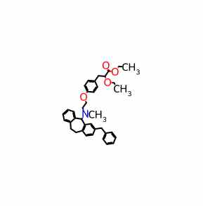 CCOC(=O)C(Cc1ccc(OCCN(C)C2c3ccccc3CCc3ccc(Cc4ccccc4)cc32)cc1)OCC